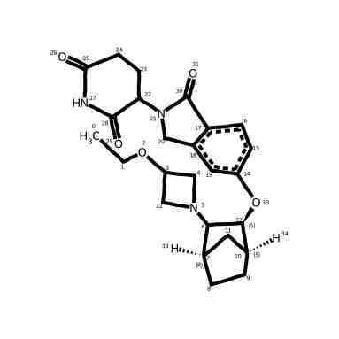 CCOC1CN(C2[C@@H]3CC[C@@H](C3)[C@@H]2Oc2ccc3c(c2)CN(C2CCC(=O)NC2=O)C3=O)C1